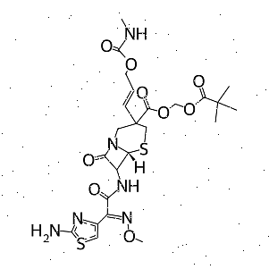 CNC(=O)OCC=CC1(C(=O)OCOC(=O)C(C)(C)C)CS[C@@H]2C(NC(=O)C(=NOC)c3csc(N)n3)C(=O)N2C1